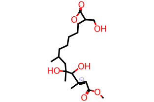 COC(=O)/C=C(\C)C(O)C(C)(O)CC(C)CCCCC1OC(=O)C1CO